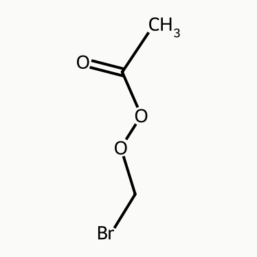 CC(=O)OOCBr